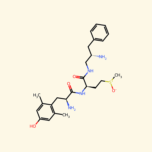 Cc1cc(O)cc(C)c1C[C@H](N)C(=O)N[C@H](CC[S+](C)[O-])C(=O)NC[C@@H](N)Cc1ccccc1